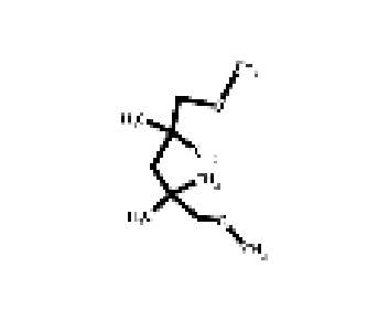 COCC(C)(C)CC(C)(C)COC